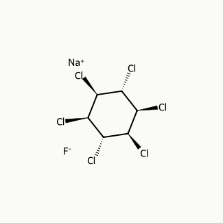 Cl[C@H]1[C@H](Cl)[C@@H](Cl)[C@@H](Cl)[C@H](Cl)[C@H]1Cl.[F-].[Na+]